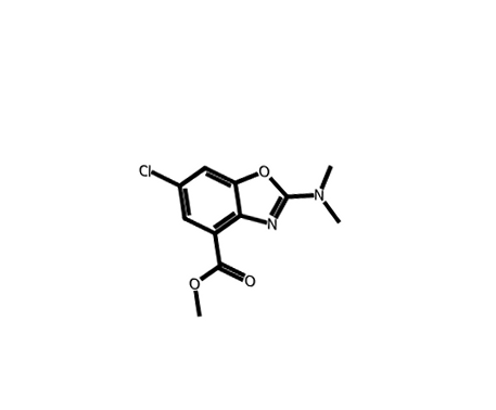 COC(=O)c1cc(Cl)cc2oc(N(C)C)nc12